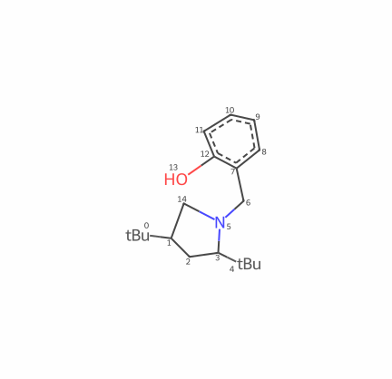 CC(C)(C)C1CC(C(C)(C)C)N(Cc2ccccc2O)C1